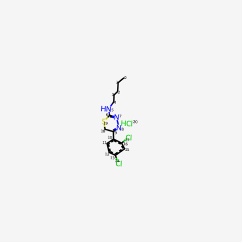 CCCCCNC1=NN=C(c2ccc(Cl)cc2Cl)CS1.Cl